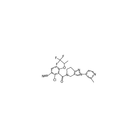 Cc1cc(-n2cc3c(n2)CCN(C(=O)c2c(OC(C)C(F)(F)F)ccc(C#N)c2Cl)C3)ccn1